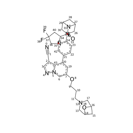 N#Cc1cnn2cc(OCCCN3CC4CC(C3)O4)cc(-c3ccc(N4CC5CC(C4)N5C(=O)C4CCC(F)(F)C4)nc3)c12